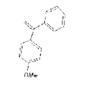 C=C(c1ccccc1)c1ccc(OC)cc1